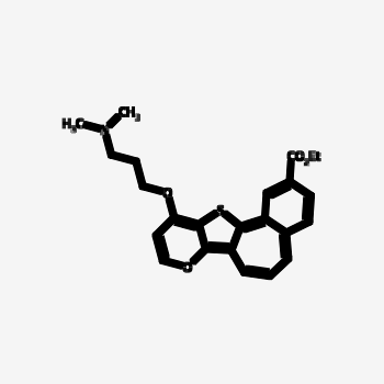 CCOC(=O)c1ccc2c(c1)=c1sc3c(c1C=CC=2)OC=CC=3OCCCN(C)C